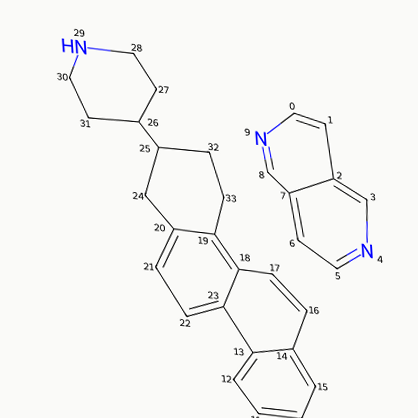 c1cc2cnccc2cn1.c1ccc2c(c1)ccc1c3c(ccc12)CC(C1CCNCC1)CC3